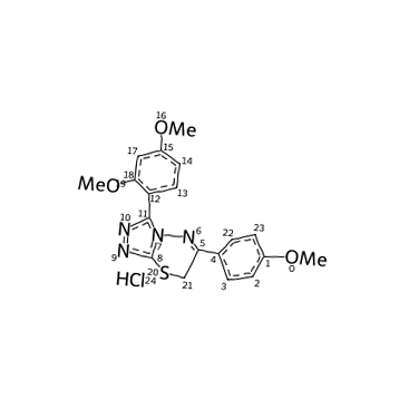 COc1ccc(C2=Nn3c(nnc3-c3ccc(OC)cc3OC)SC2)cc1.Cl